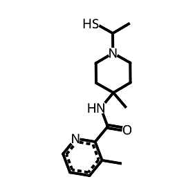 Cc1cccnc1C(=O)NC1(C)CCN(C(C)S)CC1